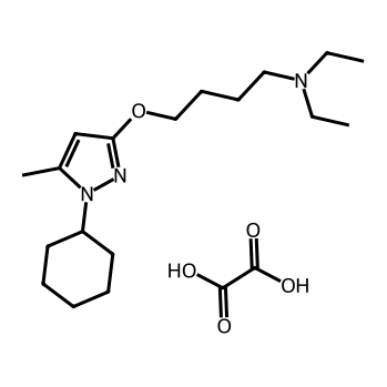 CCN(CC)CCCCOc1cc(C)n(C2CCCCC2)n1.O=C(O)C(=O)O